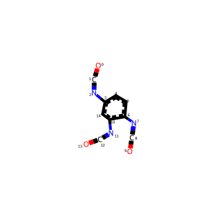 O=C=Nc1ccc(N=C=O)c(N=C=O)c1